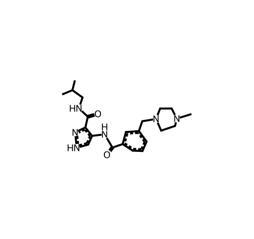 CC(C)CNC(=O)c1n[nH]cc1NC(=O)c1cccc(CN2CCN(C)CC2)c1